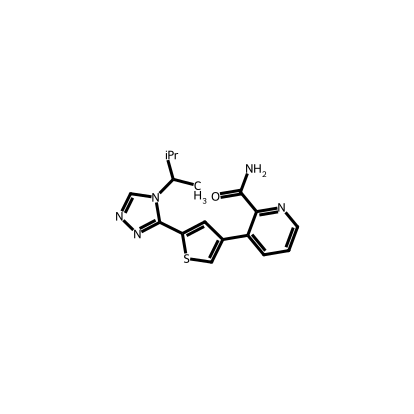 CC(C)C(C)n1cnnc1-c1cc(-c2cccnc2C(N)=O)cs1